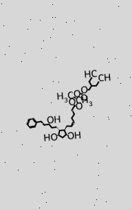 C#CCC(CC#C)COC(=O)OC(C)(C)OC(=O)CCC/C=C\C[C@@H]1[C@@H](CC[C@@H](O)CCc2ccccc2)[C@H](O)C[C@@H]1O